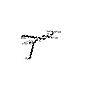 CCCC/C=C\CCCCCCCCN(CCCC(CCCCCCCC/C=C\CCCC)(OC(=O)CCCCCCCCC)S(=O)(=O)O)CC(=O)N1CCN(C(=O)CN(CCCCCCCCC)CCN(CCCCCCCCC)CCCCCCCCC)CC1